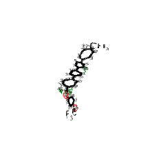 CC1CCC(c2ccc(-c3ccc(C4CCC(C(F)(F)Oc5ccc(OC(F)(F)F)cc5)CC4)cc3)c(F)c2)CC1